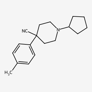 Cc1ccc(C2(C#N)CCN(C3CCCC3)CC2)cc1